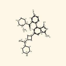 Cc1nc(F)c2c(-c3ccc(F)cc3C(=O)N3CCOC[C@H]3C)cc(C3CN([C@H](C(C)C)C4CCNCC4)C3)cn12